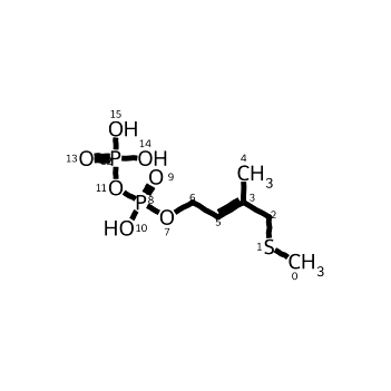 CSCC(C)=CCOP(=O)(O)OP(=O)(O)O